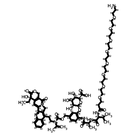 CC[C@@]1(O)C(=O)OCc2c1cc1n(c2=O)Cc2c-1nc1ccccc1c2CCN(C(=O)OCc1ccc(NC(=O)[C@H](C)NC(=O)[C@@H](NC(=O)CCOCCOCCOCCOCCOCCOCCOCCOCCN)C(C)C)c(O[C@@H]2O[C@H](C(=O)O)[C@@H](O)[C@H](O)[C@H]2O)c1)C(C)C